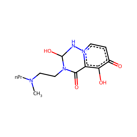 CCCN(C)CCN1C(=O)c2c(O)c(=O)ccn2NC1O